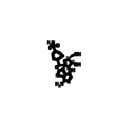 Nc1ncnc2c1ncn2[C@]1(C(=O)c2ccc(S(N)(=O)=O)cc2)O[C@H](CO)[C@@H](O)[C@H]1O